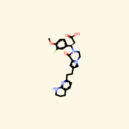 COc1ccc([C@@H](CC(=O)O)N2CCn3cc(CCc4ccc5c(n4)NCCC5)cc3C2=O)cc1F